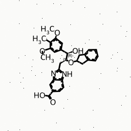 COc1cc([C@@H](O)[C@H](Cc2nc3cc(C(=O)O)ccc3[nH]2)OC2Cc3ccccc3C2)cc(OC)c1C